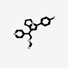 O=COCC(c1ccncc1)c1cc(-c2ccc(F)cc2)n2c1CCC2